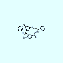 Nc1cc(C(=O)CNC(CCOc2ccc3c(c2)oc2ccccc23)c2ccccc2)ccc1Br